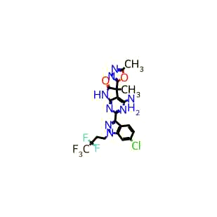 Cc1nnc(C2(C)C(=O)Nc3nc(-c4nn(CCC(F)(F)C(F)(F)F)c5cc(Cl)ccc45)nc(N)c32)o1